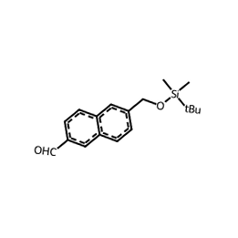 CC(C)(C)[Si](C)(C)OCc1ccc2cc(C=O)ccc2c1